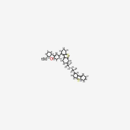 CC(C)(C)c1cccc2c1oc1ccc(-c3cccc4sc5cc(C(C)(C)CCC(C)(C)c6ccc7sc8ccccc8c7c6)ccc5c34)cc12